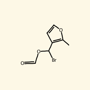 Cc1occc1C(Br)OC=O